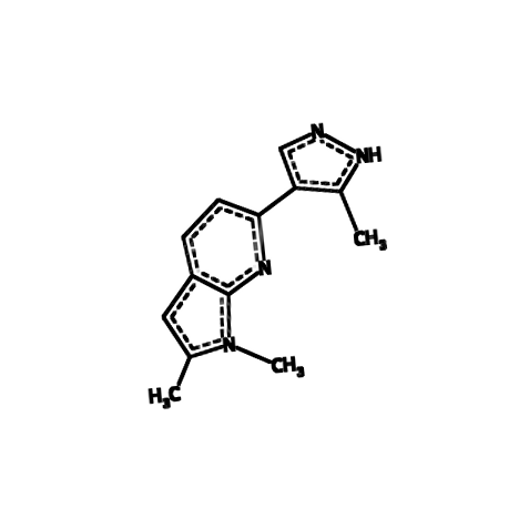 Cc1[nH]ncc1-c1ccc2cc(C)n(C)c2n1